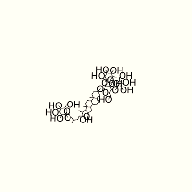 CC(CCC1(O)OC2CC3C4CC=C5CC(OC6OC(CO)C(OC7OC(CO)C(O)C7O)C(O)C6OC6OC(C)C(O)C(O)C6O)CCC5(C)C4CCC3(C)C2C1C)COC1OC(CO)C(O)C(O)C1O